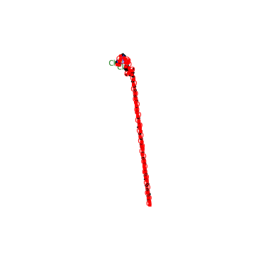 COCCOCCOCCOCCOCCOCCOCCOCCOCCOCCOCCOCCOCCOCCOCCOCCOCCOCCOCCOCCOCCOCCOCCOCCOCc1cc(OC)c(-c2ccc(C[C@H](NC(=O)[C@@H]3CCCN3S(=O)(=O)c3cc(Cl)cc(Cl)c3)C(=O)OC)cc2)c(OC)c1